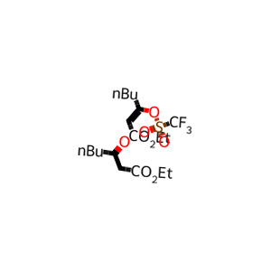 CCCCC(=CC(=O)OCC)OS(=O)(=O)C(F)(F)F.CCCCC(=O)CC(=O)OCC